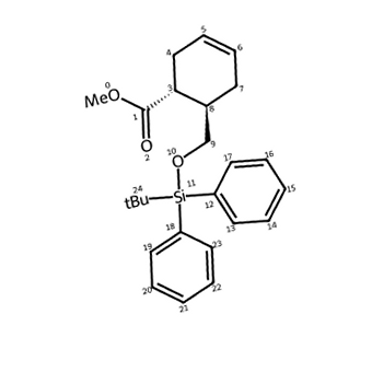 COC(=O)[C@@H]1CC=CC[C@H]1CO[Si](c1ccccc1)(c1ccccc1)C(C)(C)C